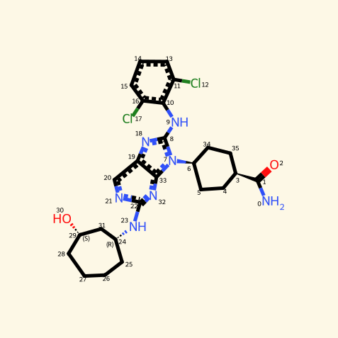 NC(=O)[C@H]1CC[C@@H](n2c(Nc3c(Cl)cccc3Cl)nc3cnc(N[C@@H]4CCCC[C@H](O)C4)nc32)CC1